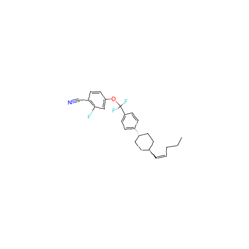 CCC/C=C\[C@H]1CC[C@H](c2ccc(C(F)(F)Oc3ccc(C#N)c(F)c3)cc2)CC1